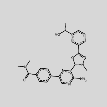 CC(O)c1cccc(C2=NN(C)C(c3nc(-c4ccc(C(=O)N(C)C)cc4)cnc3N)O2)c1